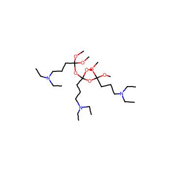 CCN(CC)CCCC(OC)(OC)OC(CCCN(CC)CC)(OC)OC(CCCN(CC)CC)(OC)OC